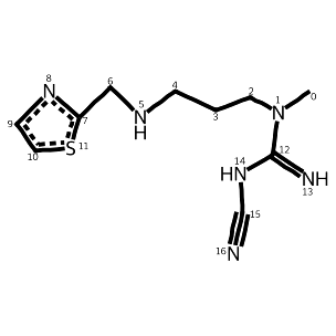 CN(CCCNCc1nccs1)C(=N)NC#N